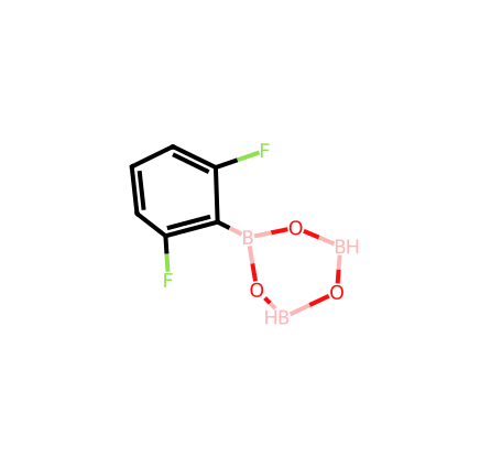 Fc1cccc(F)c1B1OBOBO1